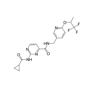 CC(Oc1ccc(CNC(=O)c2ccnc(NC(=O)C3CC3)n2)cn1)C(F)(F)F